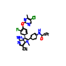 CCCC(=O)Nc1ccc(-c2c(-c3ccc(Oc4ncc(Cl)c(C)n4)c(F)c3)c3c(N)ncc(C#N)c3n2C)cc1